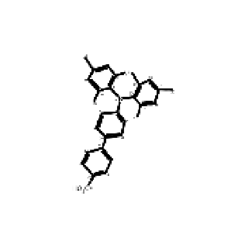 Cc1cc(C)c(B(c2ccc(-c3ccc(C(=O)O)cc3)cc2)c2c(C)cc(C)cc2C)c(C)c1